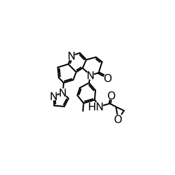 Cc1ccc(-n2c(=O)ccc3cnc4ccc(-n5cccn5)cc4c32)cc1NC(=O)C1CO1